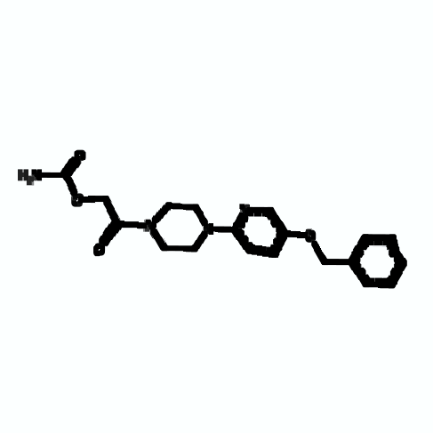 NC(=O)OCC(=O)N1CCN(c2ccc(OCc3ccccc3)cn2)CC1